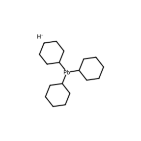 C1CC[CH]([Pb]([CH]2CCCCC2)[CH]2CCCCC2)CC1.[H-]